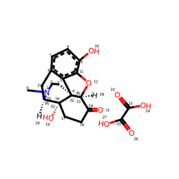 CN1CC[C@]23c4c5ccc(O)c4O[C@H]2C(=O)CC[C@@]3(O)[C@H]1C5.O=C(O)C(=O)O